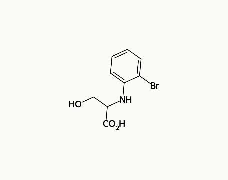 O=C(O)C(CO)Nc1ccccc1Br